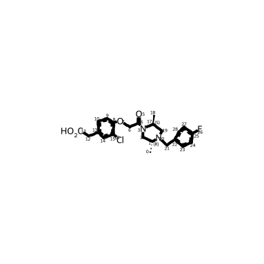 C[C@@H]1CN(C(=O)COc2ccc(CC(=O)O)cc2Cl)[C@@H](C)CN1Cc1ccc(F)cc1